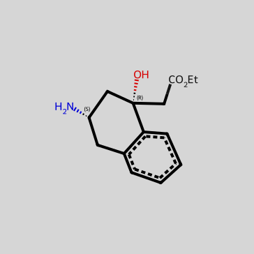 CCOC(=O)C[C@]1(O)C[C@@H](N)Cc2ccccc21